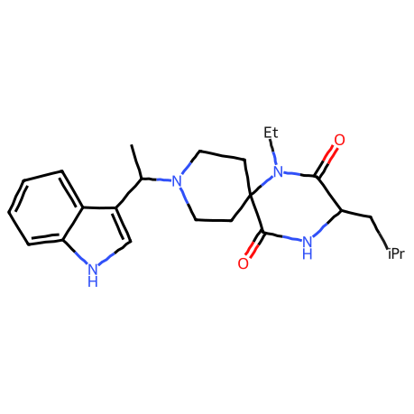 CCN1C(=O)C(CC(C)C)NC(=O)C12CCN(C(C)c1c[nH]c3ccccc13)CC2